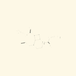 C=CCC1CCN(C(=O)OC(C)(C)C)C2CC(C(=O)OC(C)(C)C)C12